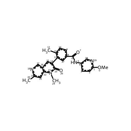 COc1ccc(NC(=O)c2ccc(C)c(-c3cc4cnc(C)cc4n(C)c3=O)c2)cn1